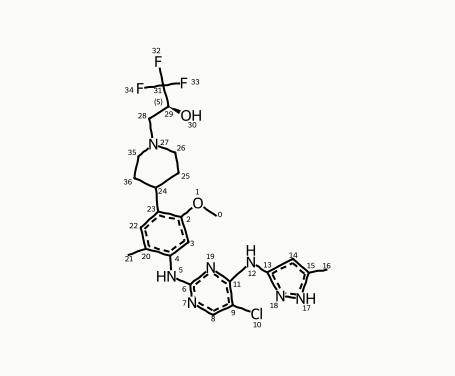 COc1cc(Nc2ncc(Cl)c(Nc3cc(C)[nH]n3)n2)c(C)cc1C1CCN(C[C@H](O)C(F)(F)F)CC1